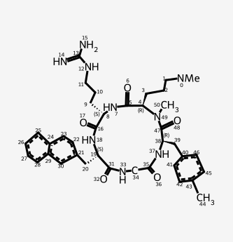 CNCCC[C@@H]1C(=O)N[C@@H](CCCNC(=N)N)C(=O)N[C@@H](Cc2ccc3ccccc3c2)C(=O)NCC(=O)N[C@H](Cc2ccc(C)cc2)C(=O)N1C